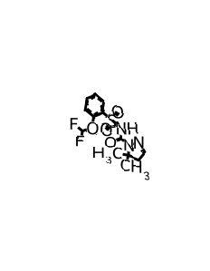 CC1(C)CC=NN1C(=O)NS(=O)(=O)c1ccccc1OC(F)F